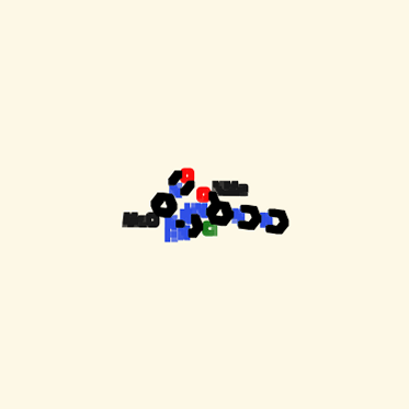 CNC(=O)c1cc(N2CCC(N3CCCCC3)CC2)ccc1Nc1nc(Nc2cc(N3CCOCC3)ccc2OC)ncc1Cl